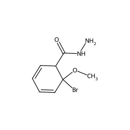 COC1(Br)C=CC=CC1C(=O)NN